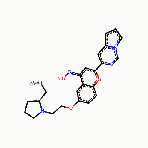 COC[C@@H]1CCCN1CCOc1ccc2oc(-c3cc4cccn4cn3)c/c(=N/O)c2c1